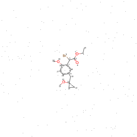 CCOC(=O)C(Br)c1cc(CC2(OC)CC2)ccc1OC